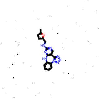 Cc1ccc(CNc2ncc3c(n2)Nc2ccccc2-n2nnnc2-3)o1